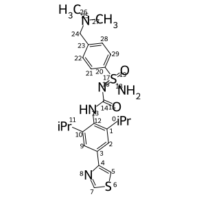 CC(C)c1cc(-c2cscn2)cc(C(C)C)c1NC(=O)N=S(N)(=O)c1ccc(CN(C)C)cc1